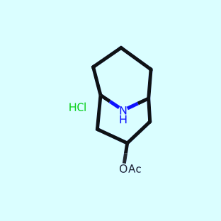 CC(=O)OC1CC2CCCC(C1)N2.Cl